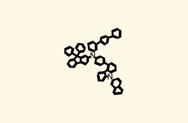 c1ccc(-c2ccc(-c3cccc(N(c4ccc(-c5cccc6c5c5ccccc5n6-c5ccc6ccccc6c5)cc4)c4ccc5c(c4)C(c4ccccc4)(c4ccccc4)c4ccccc4-5)c3)cc2)cc1